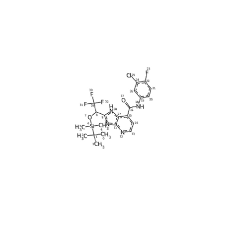 CC(C)(C)[Si](C)(C)OC(c1nc2nccc(C(=O)Nc3ccc(F)c(Cl)c3)c2[nH]1)C(F)(F)F